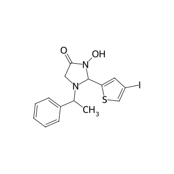 CC(c1ccccc1)N1CC(=O)N(O)C1c1cc(I)cs1